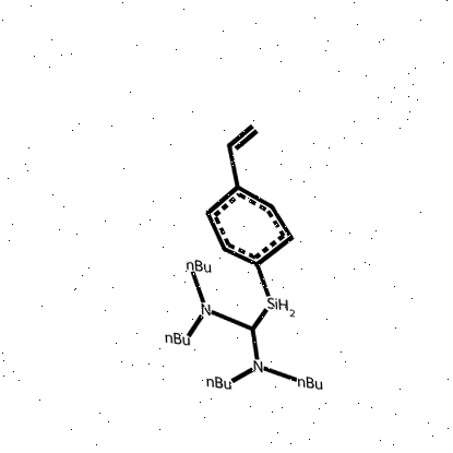 C=Cc1ccc([SiH2]C(N(CCCC)CCCC)N(CCCC)CCCC)cc1